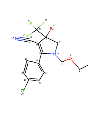 CCOCN1CC(Br)(C(F)(F)F)C(C#N)=C1c1ccc(Cl)cc1